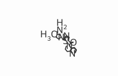 CC1(CN)CCN(c2ncc(C(=O)N3CCCc4ncccc43)s2)C1